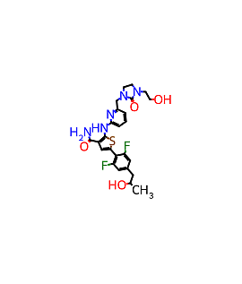 CC(O)Cc1cc(F)c(-c2cc(C(N)=O)c(Nc3cccc(CN4CCN(CCO)C4=O)n3)s2)c(F)c1